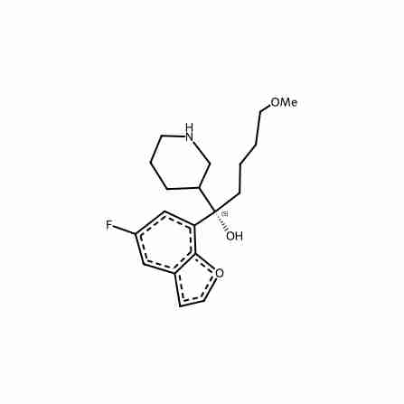 COCCCC[C@@](O)(c1cc(F)cc2ccoc12)C1CCCNC1